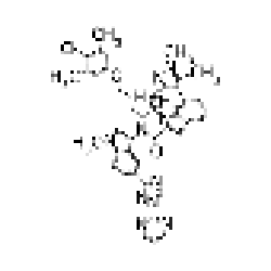 Cc1cc(OCCCC2C(C)n3c(cc4cccc(-c5c(C)nn(C)c5C)c43)C(=O)N2c2cn(C)c3ccc(-c4ncn(-c5ncccn5)n4)cc23)cc(C)c1Cl